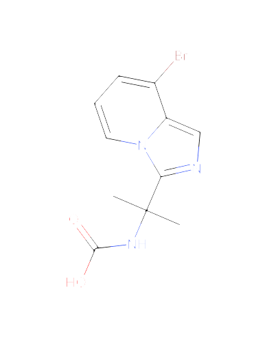 CC(C)(NC(=O)O)c1ncc2c(Br)cccn12